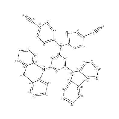 N#Cc1ccc(N(c2ccc(C#N)cc2)c2cc(N3c4ccccc4Sc4ccccc43)cc(-n3c4ccccc4c4ccccc43)c2)cc1